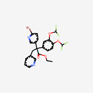 CCOC(=O)C(Cc1cccnc1)(c1ccc(Br)nc1)c1ccc(OC(F)F)c(OC(F)F)c1